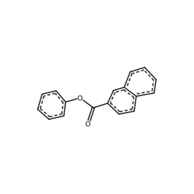 O=C(Oc1ccccc1)c1ccc2ccccc2c1